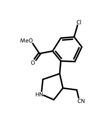 COC(=O)c1cc(Cl)ccc1C1CNCC1CC#N